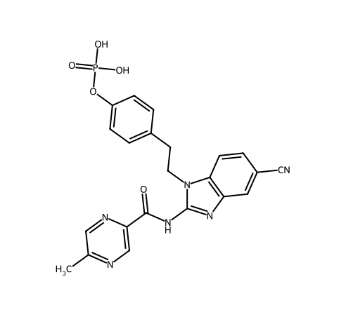 Cc1cnc(C(=O)Nc2nc3cc(C#N)ccc3n2CCc2ccc(OP(=O)(O)O)cc2)cn1